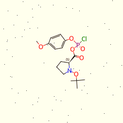 COc1ccc(OP(=O)(Cl)OC(=O)[C@@H]2CCCN2OC(C)(C)C)cc1